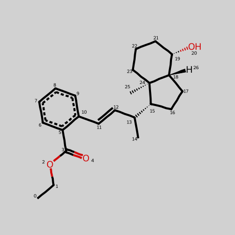 CCOC(=O)c1ccccc1C=CC(C)[C@H]1CC[C@H]2[C@@H](O)CCC[C@]12C